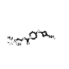 C[Si](C)(C)CCOC(=O)N1CCC(OC2CC(N)C2)CC1